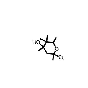 CCC1(C)CC(C)(O)C(C)(C)C(C)O1